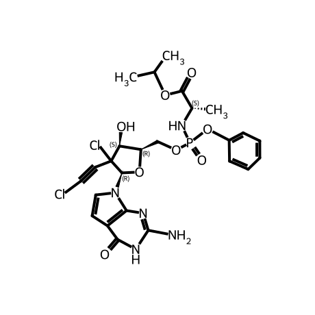 CC(C)OC(=O)[C@H](C)NP(=O)(OC[C@H]1O[C@@H](n2ccc3c(=O)[nH]c(N)nc32)C(Cl)(C#CCl)[C@H]1O)Oc1ccccc1